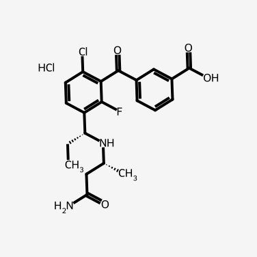 CC[C@@H](N[C@H](C)CC(N)=O)c1ccc(Cl)c(C(=O)c2cccc(C(=O)O)c2)c1F.Cl